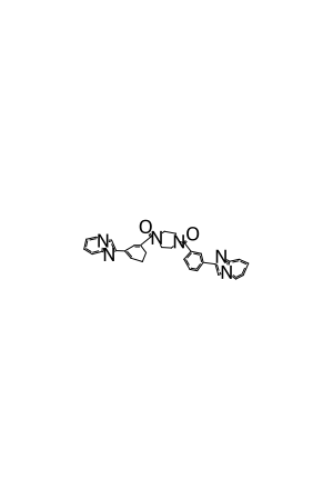 O=C(C1=CC(c2cn3ccccc3n2)=CCC1)N1CCN(C(=O)c2cccc(-c3cn4ccccc4n3)c2)CC1